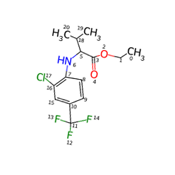 CCOC(=O)C(Nc1ccc(C(F)(F)F)cc1Cl)C(C)C